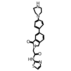 O=C(CN1Cc2ccc(-c3ccc(N4CCNCC4)cc3)cc2C1=O)Nc1nccs1